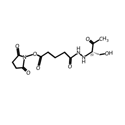 CC(=O)[C@H](CO)NNC(=O)CCCC(=O)ON1C(=O)CCC1=O